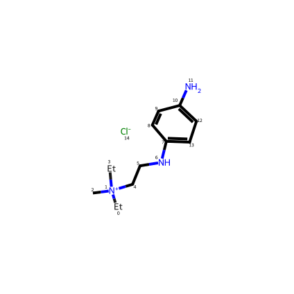 CC[N+](C)(CC)CCNc1ccc(N)cc1.[Cl-]